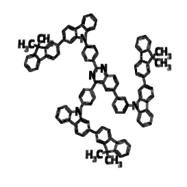 CC1(C)c2ccccc2-c2ccc(-c3ccc4c5ccccc5n(-c5ccc(-c6nc(-c7ccc(-n8c9ccccc9c9ccc(-c%10ccc%11c(c%10)C(C)(C)c%10ccccc%10-%11)cc98)cc7)c7cc(-c8cccc(-n9c%10ccccc%10c%10ccc(-c%11ccc%12c(c%11)C(C)(C)c%11ccccc%11-%12)cc%109)c8)ccc7n6)cc5)c4c3)cc21